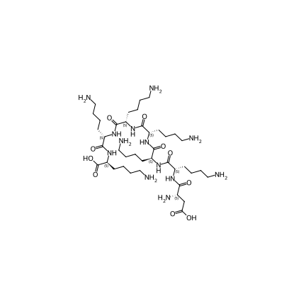 NCCCC[C@H](NC(=O)[C@H](CCCCN)NC(=O)[C@H](CCCCN)NC(=O)[C@H](CCCCN)NC(=O)[C@H](CCCCN)NC(=O)[C@H](CCCCN)NC(=O)[C@@H](N)CC(=O)O)C(=O)O